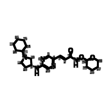 O=C(C=Cc1cnc(N[C@@H]2CCN(C3CCCCC3)C2)cn1)NOC1CCCCO1